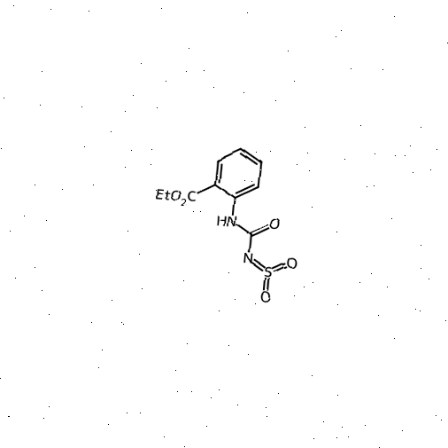 CCOC(=O)c1ccccc1NC(=O)N=S(=O)=O